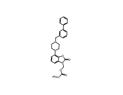 CCCCCC(=O)OCn1c(=O)oc2c(N3CCN(Cc4cccc(-c5ccccc5)c4)CC3)cccc21